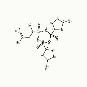 C=C(CC)CC(CC)P1(=O)OP(=O)(C2CCC(CC)C2)OP(=O)(C2CCC(CC)C2)O1